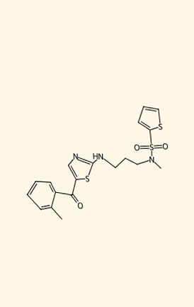 Cc1ccccc1C(=O)c1cnc(NCCCN(C)S(=O)(=O)c2cccs2)s1